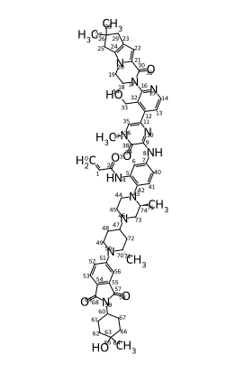 C=CC(=O)Nc1cc(Nc2nc(-c3ccnc(N4CCn5c(cc6c5CC(C)(C)C6)C4=O)c3CO)cn(C)c2=O)ccc1N1CCN(C2CCN(c3ccc4c(c3)C(=O)N(C3CCC(C)(O)CC3)C4=O)[C@@H](C)C2)C[C@@H]1C